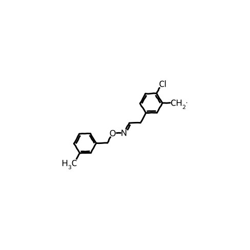 [CH2]c1cc(CC=NOCc2cccc(C)c2)ccc1Cl